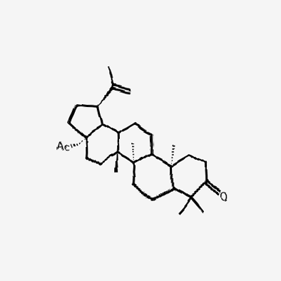 C=C(C)[C@@H]1CC[C@]2(C(C)=O)CC[C@]3(C)C(CCC4[C@@]5(C)CCC(=O)C(C)(C)C5CC[C@]43C)C12